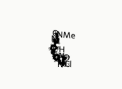 CNC(=O)c1ccc(C2=CCN(Cc3ccc4c(c3)[nH]c(=O)c3c(Cl)cnn34)CC2)cn1